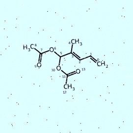 C=C/C=C(\C)C(OC(C)=O)OC(C)=O